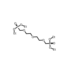 CCOP(=O)(COCCOCCOCP(=O)(OCC)OCC)OCC